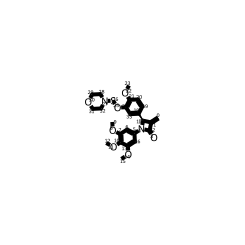 C=C1C(=O)N(c2cc(OC)c(OC)c(OC)c2)[C@H]1c1ccc(OC)c(OSN2CCOCC2)c1